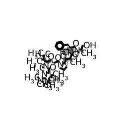 CC[C@H](C)[C@@H]([C@@H](CC(=O)N1CCC[C@H]1[C@H](OC)[C@@H](C)C(=O)N[C@@H](Cc1ccccc1)C(=O)N[C@@H](C)CO)OC)N(C)C(=O)[C@@H](N=C(N(C)C)N(C)C)C(C)C